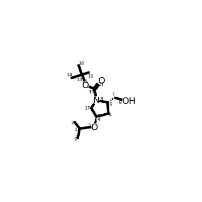 CC(C)O[C@@H]1C[C@@H](CO)N(C(=O)OC(C)(C)C)C1